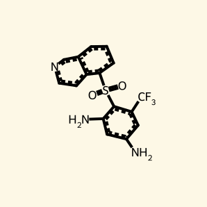 Nc1cc(N)c(S(=O)(=O)c2cccc3cnccc23)c(C(F)(F)F)c1